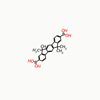 CC1(C)c2cc(B(O)O)ccc2-c2cc3c(cc21)-c1ccc(B(O)O)cc1C3(C)C